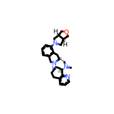 CN(C[C@H]1Cc2c(cccc2N2C[C@H]3COC[C@H]3C2)CN1)[C@H]1CCCc2cccnc21